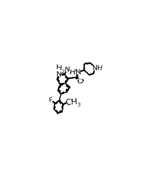 Cc1cccc(F)c1-c1ccc2c(C(=O)NC3CCNCC3)c(N)ncc2c1